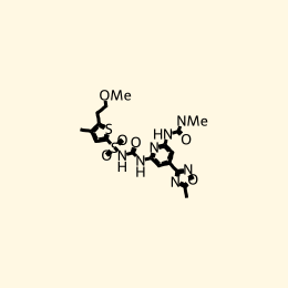 CNC(=O)Nc1cc(-c2noc(C)n2)cc(NC(=O)NS(=O)(=O)c2cc(C)c(CCOC)s2)n1